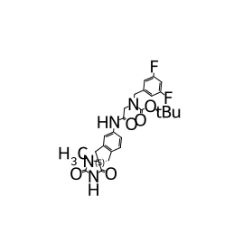 CN1C(=O)NC(=O)[C@@]12Cc1ccc(NC(=O)CN(Cc3cc(F)cc(F)c3)C(=O)OC(C)(C)C)cc1C2